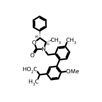 COc1ccc(C(C)C(=O)O)cc1-c1ccc(C)cc1CN1C(=O)O[C@H](c2ccccc2)[C@@H]1C